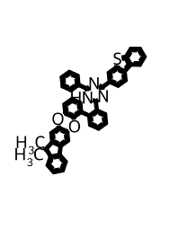 CC1(C)c2ccccc2-c2cc3c(cc21)Oc1cccc(-c2ccccc2C2N=C(c4ccc5c(c4)sc4ccccc45)N=C(c4ccccc4)N2)c1O3